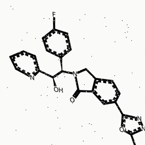 O=C1c2cc(-c3nnc(C(F)F)o3)ccc2CN1[C@H](c1ccc(F)cc1)[C@@H](O)c1ccccn1